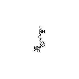 CSCNCCOCCN1CCOC(CNC(=O)C(C)C)C1